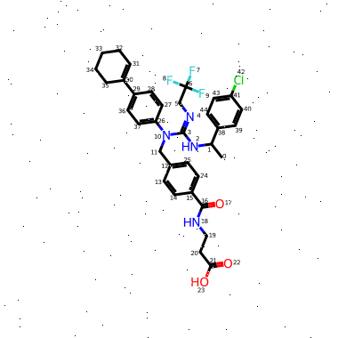 CC(N/C(=N/CC(F)(F)F)N(Cc1ccc(C(=O)NCCC(=O)O)cc1)c1ccc(C2=CCCCC2)cc1)c1ccc(Cl)cc1